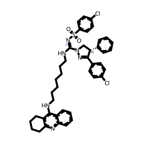 O=S(=O)(/N=C(/NCCCCCCCNc1c2c(nc3ccccc13)CCCC2)N1C[C@H](c2ccccc2)C(c2ccc(Cl)cc2)=N1)c1ccc(Cl)cc1